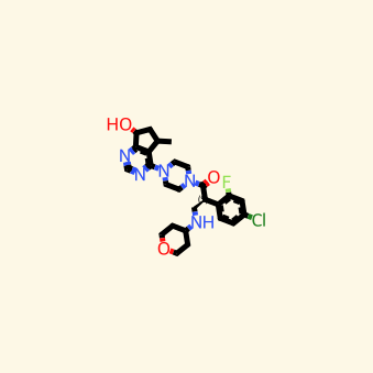 CC1CC(O)c2ncnc(N3CCN(C(=O)[C@H](CNC4CCOCC4)c4ccc(Cl)cc4F)CC3)c21